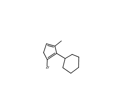 CC1=CC[C]([Zr])=C1C1CCCCC1